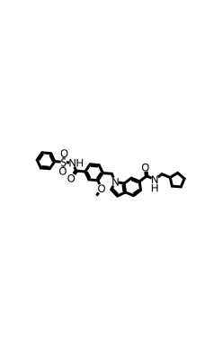 COc1cc(C(=O)NS(=O)(=O)c2ccccc2)ccc1Cn1ccc2ccc(C(=O)NCC3CCCC3)cc21